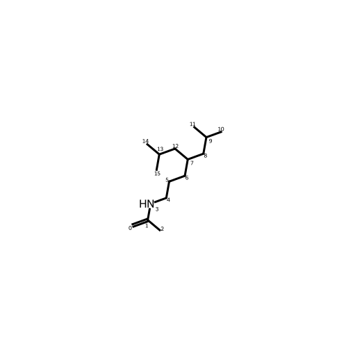 C=C(C)NCCCC(CC(C)C)CC(C)C